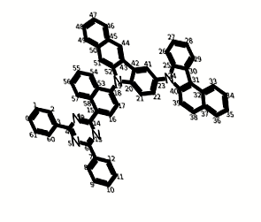 c1ccc(-c2nc(-c3ccccc3)nc(-c3ccc(-n4c5ccc(-n6c7ccccc7c7c8ccccc8ccc76)cc5c5cc6ccccc6cc54)c4ccccc34)n2)cc1